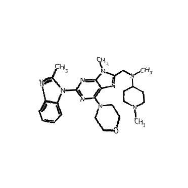 Cc1nc2ccccc2n1-c1nc(N2CCOCC2)c2nc(CN(C)C3CCN(C)CC3)n(C)c2n1